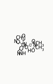 Cc1cc(-c2c(C3CCOCC3)nc(O[C@H]3C[C@H](C(=O)N(C)C(C)CO)C3)c3cc4[nH]ncc4cc23)ccn1